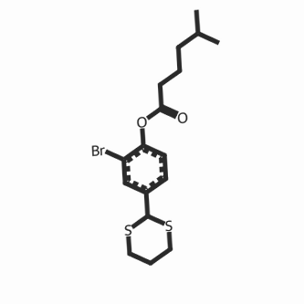 CC(C)CCCC(=O)Oc1ccc(C2SCCCS2)cc1Br